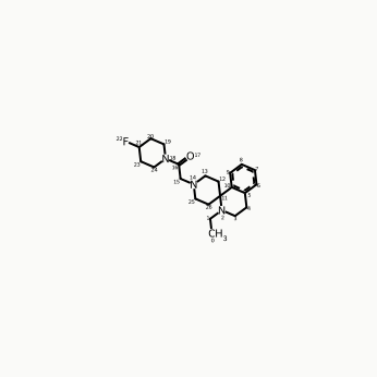 CCN1CCc2ccccc2C12CCN(CC(=O)N1CCC(F)CC1)CC2